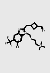 C[Si](C)(C)CCOCn1c(CC2CC(C=O)C2)nc2cc(C(F)(F)F)c(Cl)cc21